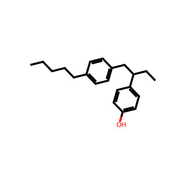 CCCCCc1ccc(CC(CC)c2ccc(O)cc2)cc1